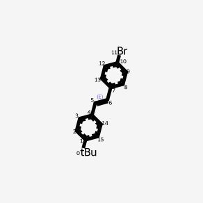 CC(C)(C)c1ccc(/C=C/c2ccc(Br)cc2)cc1